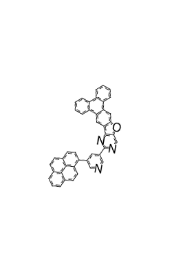 c1cc2ccc3ccc(-c4cncc(-c5ncc6oc7cc8c9ccccc9c9ccccc9c8cc7c6n5)c4)c4ccc(c1)c2c34